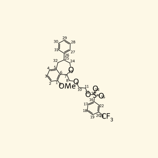 COc1cccc2c1C(COCCOS(=O)(=O)c1cccc(C(F)(F)F)c1)OCC(c1ccccc1)C2